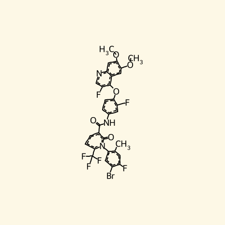 COc1cc2ncc(F)c(Oc3ccc(NC(=O)c4ccc(C(F)(F)F)n(-c5cc(Br)c(F)cc5C)c4=O)cc3F)c2cc1OC